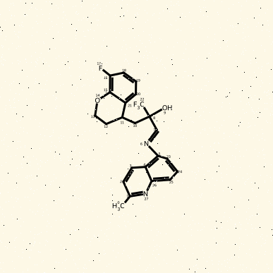 Cc1ccc2c(N=CC(O)(CC3CCOc4c(F)cccc43)C(F)(F)F)cccc2n1